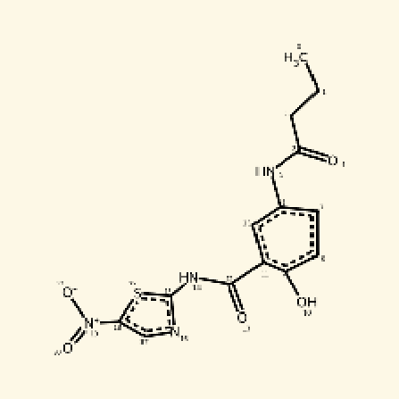 CCCC(=O)Nc1ccc(O)c(C(=O)Nc2ncc([N+](=O)[O-])s2)c1